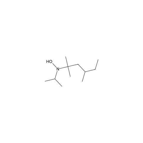 CCC(C)CC(C)(C)N(O)C(C)C